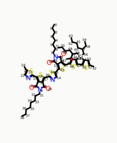 CCCCCCCCN1C(=O)c2c(-c3cnc(-c4sc(-c5ncc(C)s5)c5c4C(=O)N(CCCCCCCC)C5=O)s3)sc(-c3cc4c(s3)-c3sc(C)cc3[Si]4(CC(CC)CCCC)CC(CC)CCCC)c2C1=O